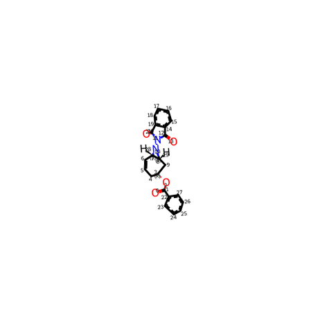 O=C(O[C@@H]1CC=C[C@H]2[C@@H](C1)N2N1C(=O)c2ccccc2C1=O)c1ccccc1